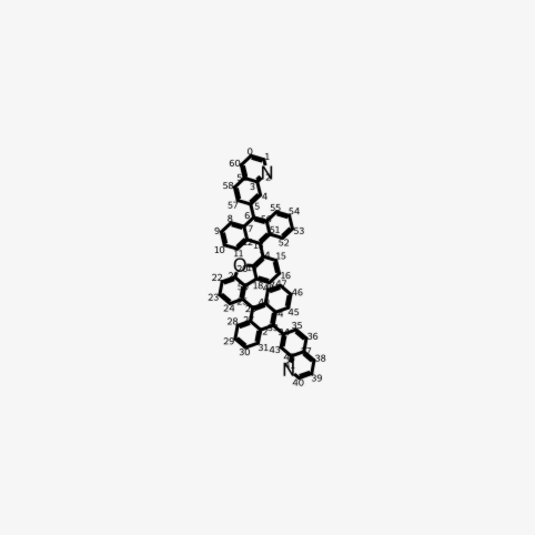 c1cnc2cc(-c3c4ccccc4c(-c4cccc5c4oc4cccc(-c6c7ccccc7c(-c7ccc8cccnc8c7)c7ccccc67)c45)c4ccccc34)ccc2c1